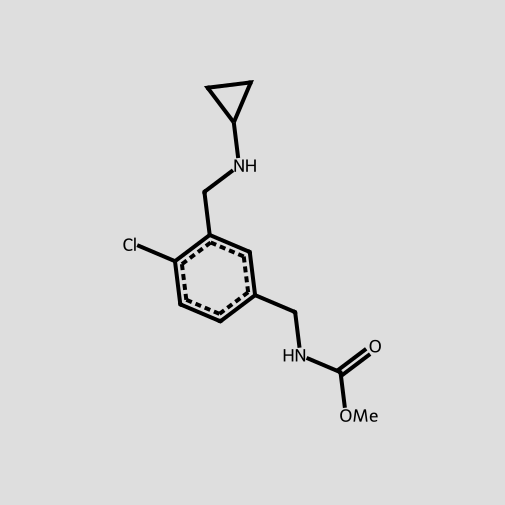 COC(=O)NCc1ccc(Cl)c(CNC2CC2)c1